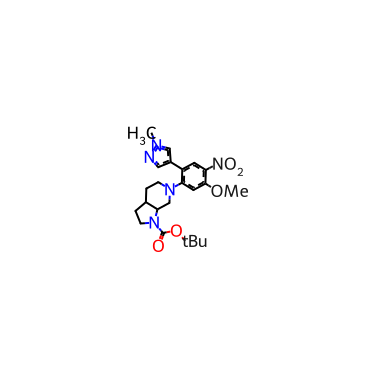 COc1cc(N2CCC3CCN(C(=O)OC(C)(C)C)C3C2)c(-c2cnn(C)c2)cc1[N+](=O)[O-]